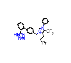 CC(C)CCC1=C(C(F)(F)F)N(c2ccccc2)CN1Cc1ccc(-c2ccccc2-c2nnn[nH]2)cc1